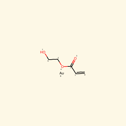 C=CC(=O)OCCO.[Au]